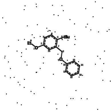 CCOc1ccc(C(C)(C)C)c(COc2ccccc2)c1